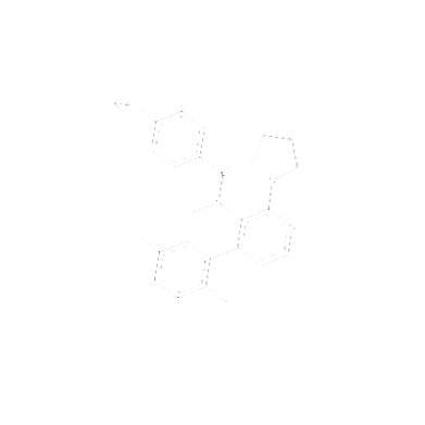 COc1ccc(C(=O)N(C)c2c(-c3cc(F)ccc3F)ccnc2N2CC[C@H](F)C2)cn1